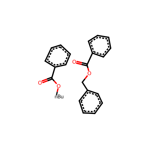 CCCCOC(=O)c1ccccc1.O=C(OCc1ccccc1)c1ccccc1